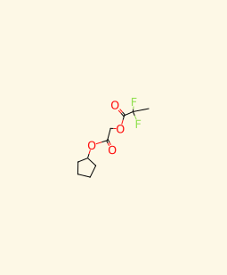 CC(F)(F)C(=O)OCC(=O)OC1CCCC1